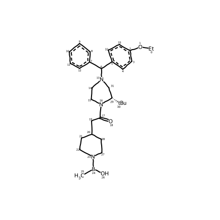 CCOc1ccc(C(c2ccccc2)N2CCN(C(=O)CC3CCN(B(C)O)CC3)[C@@H](C(C)(C)C)C2)cc1